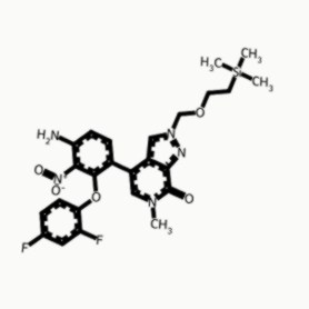 Cn1cc(-c2ccc(N)c([N+](=O)[O-])c2Oc2ccc(F)cc2F)c2cn(COCC[Si](C)(C)C)nc2c1=O